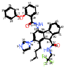 CCCCc1c(-n2ccnc2)cc(NC(=O)c2ccccc2Oc2ccccc2)c2c1C(C(=O)NCC(F)(F)F)c1ccccc1-2